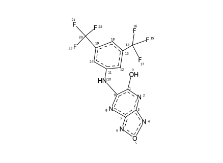 Oc1nc2nonc2nc1Nc1cc(C(F)(F)F)cc(C(F)(F)F)c1